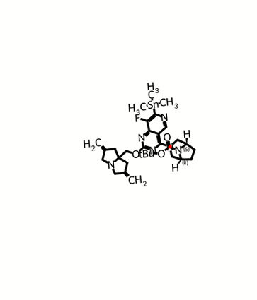 C=C1CN2CC(=C)CC2(COc2nc(N3C[C@H]4CC[C@@H](C3)N4C(=O)OC(C)(C)C)c3cn[c]([Sn]([CH3])([CH3])[CH3])c(F)c3n2)C1